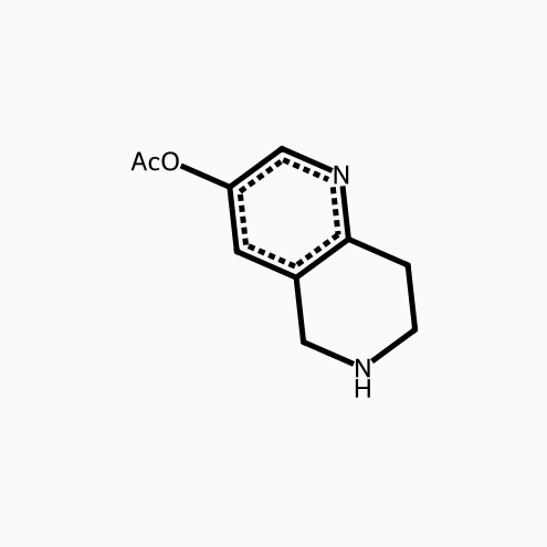 CC(=O)Oc1cnc2c(c1)CNCC2